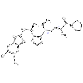 C=N/C(=C\C=C(/C)C(=O)N1CCCC1)n1ncnc1[C@H](C)Nc1nc2cc(C(F)(F)F)c(Cl)cc2o1